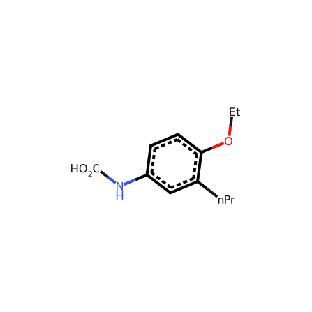 CCCc1cc(NC(=O)O)ccc1OCC